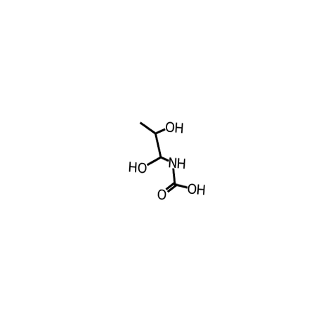 CC(O)C(O)NC(=O)O